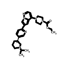 CCOC(=O)N1CCN(c2ccnn3cc(-c4ccc([C@@H]5CCCN(C(C)C)C5)cn4)cc23)CC1